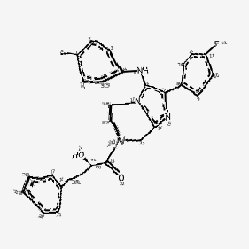 Cc1ccc(Nc2c(-c3ccc(F)cc3)nc3n2CCN(C(=O)[C@H](O)Cc2ccccc2)C3)cc1